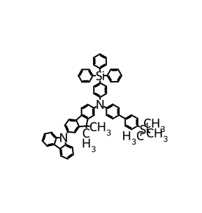 CC1(C)c2cc(N(c3ccc(-c4ccc([Si](C)(C)C)cc4)cc3)c3ccc([Si](c4ccccc4)(c4ccccc4)c4ccccc4)cc3)ccc2-c2ccc(-n3c4ccccc4c4ccccc43)cc21